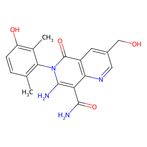 Cc1ccc(O)c(C)c1-n1c(N)c(C(N)=O)c2ncc(CO)cc2c1=O